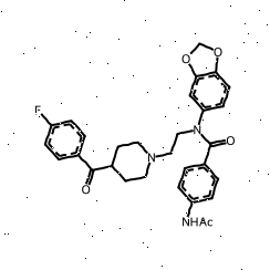 CC(=O)Nc1ccc(C(=O)N(CCN2CCC(C(=O)c3ccc(F)cc3)CC2)c2ccc3c(c2)OCO3)cc1